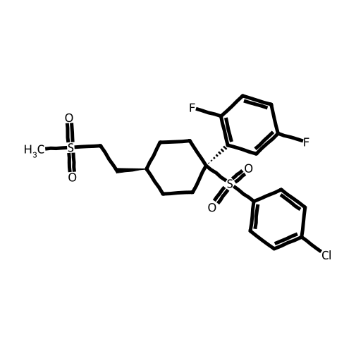 CS(=O)(=O)CC[C@H]1CC[C@@](c2cc(F)ccc2F)(S(=O)(=O)c2ccc(Cl)cc2)CC1